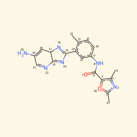 Cc1nc(C)c(C(=O)Nc2ccc(C)c(C3=NC4C=C(N)C=NC4=N3)c2)o1